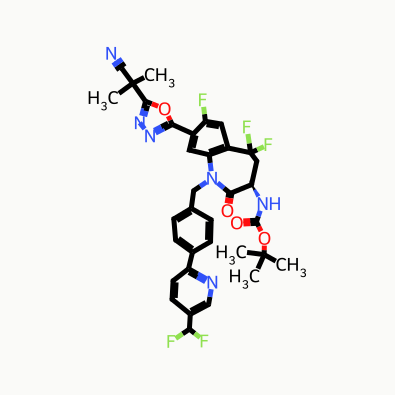 CC(C)(C)OC(=O)N[C@@H]1CC(F)(F)c2cc(F)c(-c3nnc(C(C)(C)C#N)o3)cc2N(Cc2ccc(-c3ccc(C(F)F)cn3)cc2)C1=O